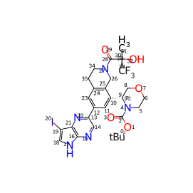 CC(C)(C)OC(=O)N1CCOC[C@H]1c1cc(-c2cnc3[nH]cc(I)c3n2)cc2c1CN(C(=O)[C@](C)(O)C(F)(F)F)CC2